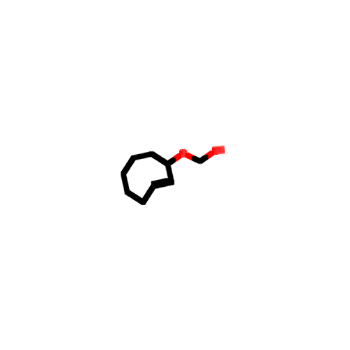 OCOC1/C=C/CCCCC1